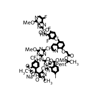 CCCCCC(C)OC(=O)COc1ccc(Cl)c2cccnc12.COC(=O)c1ccc(I)cc1S(=O)(=O)[N-]C(=O)Nc1nc(C)nc(OC)n1.COc1ncc(F)c2nc(S(=O)(=O)Nc3c(F)cccc3F)nn12.Cc1nn(C)c(O)c1C(=O)c1ccc(C(F)(F)F)cc1S(C)(=O)=O.[Na+]